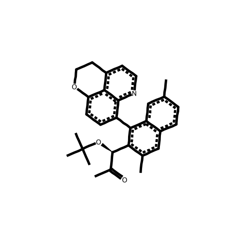 CC(=O)[C@@H](OC(C)(C)C)c1c(C)cc2ccc(C)cc2c1-c1ccc2c3c(ccnc13)CCO2